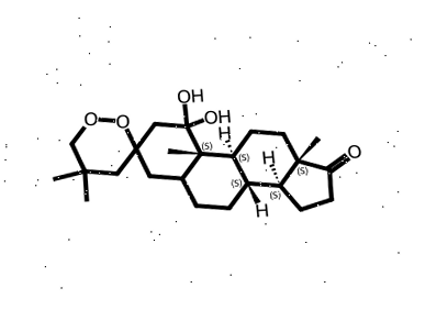 CC1(C)COOC2(CC3CC[C@@H]4[C@H](CC[C@]5(C)C(=O)CC[C@@H]45)[C@@]3(C)C(O)(O)C2)C1